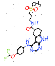 CS(=O)(=O)CCCNC(=O)[C@H]1CCc2[nH]c3ncnc(Nc4ccc(OC(F)F)cc4)c3c2C1